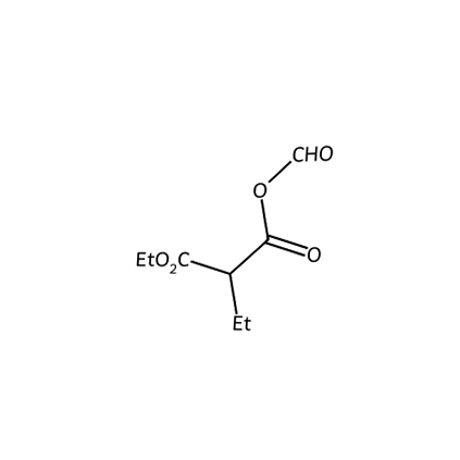 CCOC(=O)C(CC)C(=O)OC=O